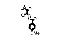 COc1ccc(C(=O)ON=C(Cl)C(=O)N(C)C)cc1